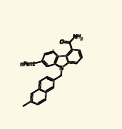 CCCCCc1c[c]c2c3c(C(N)=O)cccc3n(Cc3ccc4cc(C)ccc4c3)c2c1